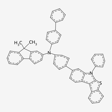 CC1(C)c2ccccc2-c2ccc(N(c3ccc(-c4ccccc4)cc3)c3ccc(-c4ccc5c6c7ccccc7sc6n(-c6ccccc6)c5c4)cc3)cc21